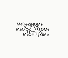 CO[C@@H]1[C@H]2OC(C)(OC)C(C)(OC)O[C@@H]2[C@H](OC)[C@@H]2OC(C)(OC)C(C)(OC)O[C@@H]12